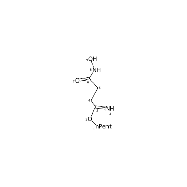 CCCCCOC(=N)CCC(=O)NO